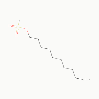 CCCCCCCCCCCCCCCCCCOS(=O)(=O)CC